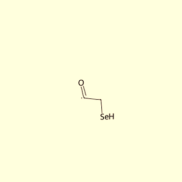 O=[C]C[SeH]